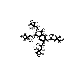 CCC1(COC(=O)c2cc(OC(=O)CC3(CC)COC3)c(OC(=O)CC3(CC)COC3)cc2C(=O)OCC2(CC)COC2)COC1